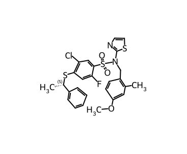 COc1ccc(CN(c2nccs2)S(=O)(=O)c2cc(Cl)c(S[C@@H](C)c3ccccc3)cc2F)c(C)c1